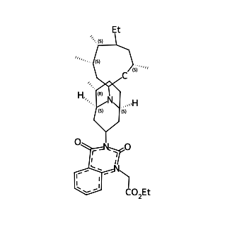 CCOC(=O)Cn1c(=O)n(C2C[C@@H]3CC[C@@H](C)[C@H](C2)N3C2C[C@@H](C)CC(CC)[C@@H](C)[C@@H](C)C2)c(=O)c2ccccc21